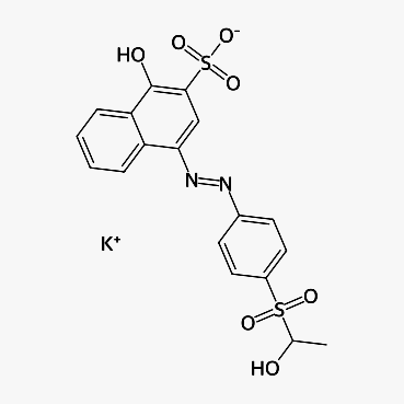 CC(O)S(=O)(=O)c1ccc(N=Nc2cc(S(=O)(=O)[O-])c(O)c3ccccc23)cc1.[K+]